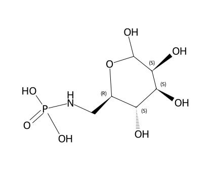 O=P(O)(O)NC[C@H]1OC(O)[C@@H](O)[C@@H](O)[C@@H]1O